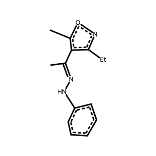 CCc1noc(C)c1/C(C)=N/Nc1ccccc1